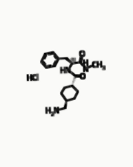 CNC(=O)[C@H](Cc1ccccc1)NC(=O)[C@H]1CC[C@H](CN)CC1.Cl